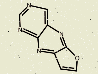 c1ncc2nc3occc3nc2n1